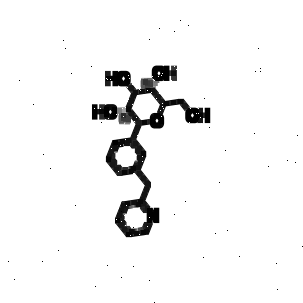 OCC1OC(c2cccc(Cc3ccccn3)c2)[C@H](O)C(O)[C@@H]1O